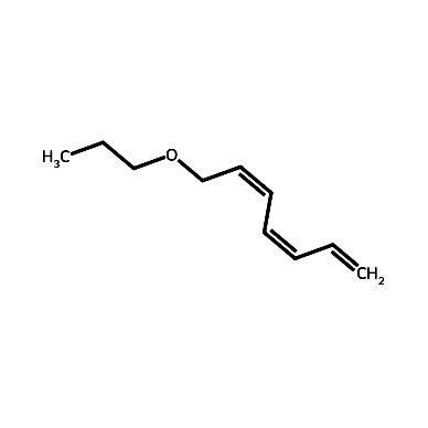 C=C/C=C\C=C/COCCC